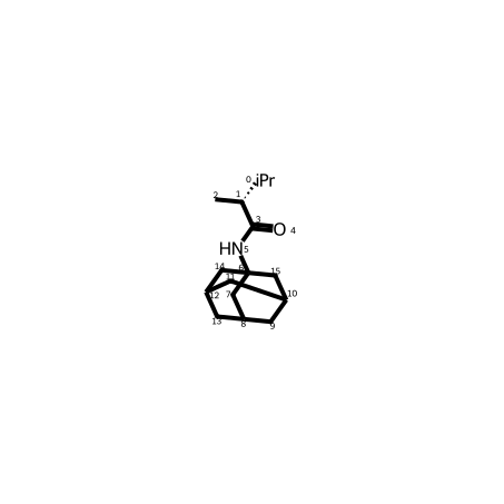 CC(C)[C@@H](C)C(=O)NC12CC3CC(CC(C3)C1)C2